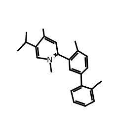 Cc1ccccc1-c1ccc(C)c(-c2cc(C)c(C(C)C)c[n+]2C)c1